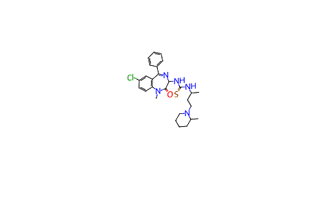 CC(CCN1CCCCC1C)NC(=S)NC1N=C(c2ccccc2)c2cc(Cl)ccc2N(C)C1=O